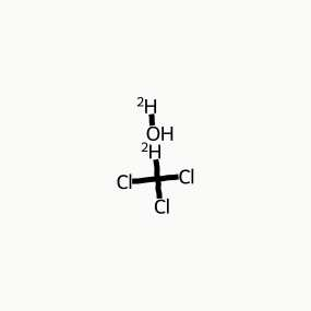 [2H]C(Cl)(Cl)Cl.[2H]O